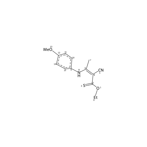 CCOC(=S)C(C#N)=C(C)Nc1ccc(OC)cc1